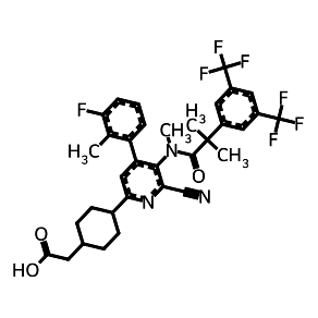 Cc1c(F)cccc1-c1cc(C2CCC(CC(=O)O)CC2)nc(C#N)c1N(C)C(=O)C(C)(C)c1cc(C(F)(F)F)cc(C(F)(F)F)c1